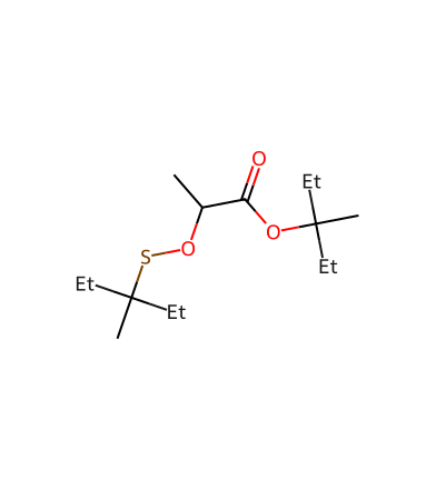 CCC(C)(CC)OC(=O)C(C)OSC(C)(CC)CC